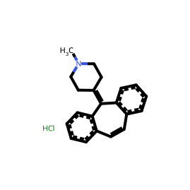 CN1CCC(=C2c3ccccc3C=Cc3ccccc32)CC1.Cl